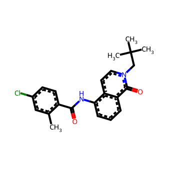 Cc1cc(Cl)ccc1C(=O)Nc1cccc2c(=O)n(CC(C)(C)C)ccc12